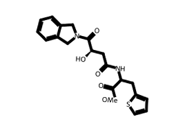 COC(=O)C(Cc1cccs1)NC(=O)C[C@@H](O)C(=O)N1Cc2ccccc2C1